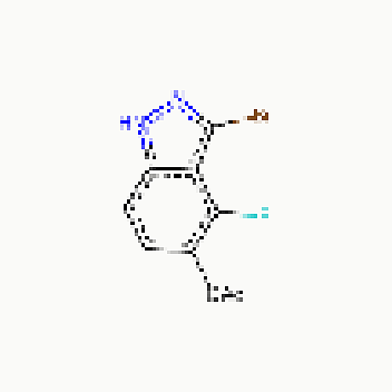 CC(=O)Oc1ccc2[nH]nc(Br)c2c1F